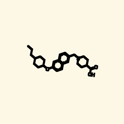 CCCC1CCC(Oc2ccc3cc(CN4CCC(C(=O)O)CC4)ccc3c2)CC1